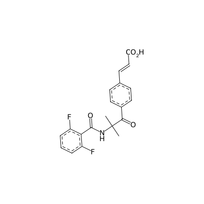 CC(C)(NC(=O)c1c(F)cccc1F)C(=O)c1ccc(/C=C/C(=O)O)cc1